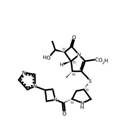 CC(O)[C@H]1C(=O)N2C(C(=O)O)=C(S[C@@H]3CN[C@H](C(=O)N4CC(n5ccnc5)C4)C3)[C@H](C)[C@H]12